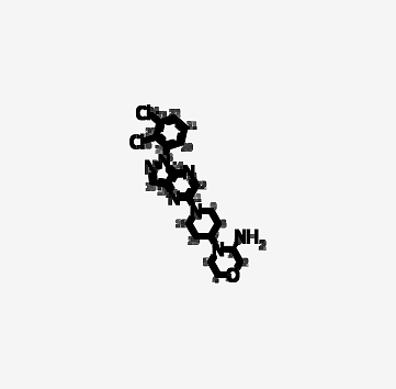 N[C@@H]1COCCN1C1CCN(c2cnc3c(cnn3-c3cccc(Cl)c3Cl)n2)CC1